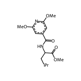 COC(=O)C(CC(C)C)NC(=O)c1cc(OC)nc(OC)c1